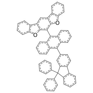 c1ccc(C2(c3ccccc3)c3ccccc3-c3ccc(-c4c5ccccc5c(-c5c6oc7ccccc7c6cc6c5oc5ccccc56)c5ccccc45)cc32)cc1